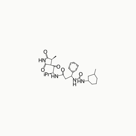 CC1CCCC(NC(=O)NC(CC(=O)N[C@H](C(=O)C2C(=O)NC(=O)[C@H]2C)C(C)C)c2ccccc2)C1